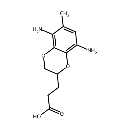 Cc1cc(N)c2c(c1N)OCC(CCC(=O)O)O2